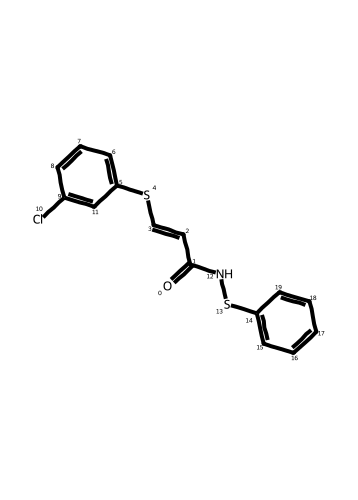 O=C(/C=C/Sc1cccc(Cl)c1)NSc1ccccc1